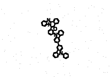 c1ccc(-n2c3ccccc3c3cc(-c4ccc5c(c4)c4ccccc4n5-c4cccc5c4oc4c6ccccc6c6nc7ccccc7n6c54)ccc32)cc1